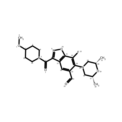 COC1CCN(C(=O)c2noc3c(F)c(N4C[C@@H](C)O[C@@H](C)C4)c(C=O)cc23)CC1